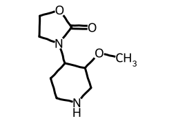 COC1CNCCC1N1CCOC1=O